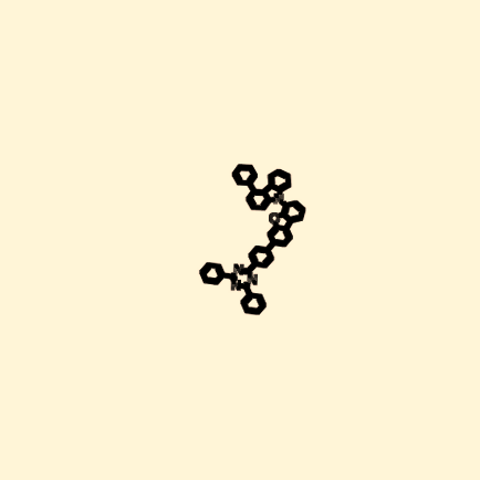 c1ccc(-c2nc(-c3ccccc3)nc(-c3ccc(-c4ccc5c(c4)oc4c(-n6c7ccccc7c7c(-c8ccccc8)cccc76)cccc45)cc3)n2)cc1